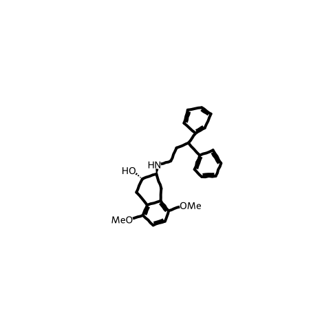 COc1ccc(OC)c2c1C[C@H](NCCC(c1ccccc1)c1ccccc1)[C@@H](O)C2